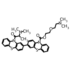 CC(C(=O)N1c2ccccc2Sc2ccc(-c3ccc4c(c3)Sc3ccccc3N4C(=O)OCCOCCN(C)C)cc21)N(C)C